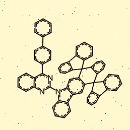 c1ccc(-c2ccc(-c3nc(-n4c5ccccc5c5cc6c(cc54)C4(c5ccccc5-c5ccccc54)c4ccccc4C64c5ccccc5-c5ccccc54)nc4ccccc34)cc2)cc1